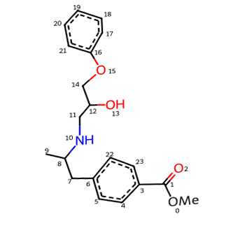 COC(=O)c1ccc(CC(C)NCC(O)COc2ccccc2)cc1